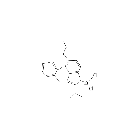 CCCc1ccc2c(c1-c1ccccc1C)C=C(C(C)C)[CH]2[Zr]([Cl])[Cl]